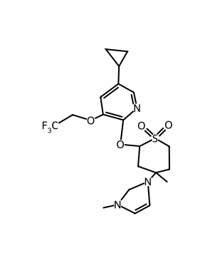 CN1C=CN(C2(C)CCS(=O)(=O)C(Oc3ncc(C4CC4)cc3OCC(F)(F)F)C2)C1